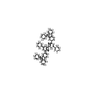 c1ccc(-c2cc(-c3ccc4c5ccccc5n(-c5ccccc5)c4c3)nc(-c3cc(-c4ccccc4)cc(-c4ccc5c6ccccc6n(-c6ccccc6)c5c4)n3)c2)cc1